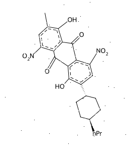 CCC[C@H]1CC[C@H](c2cc([N+](=O)[O-])c3c(c2O)C(=O)c2c([N+](=O)[O-])cc(C)c(O)c2C3=O)CC1